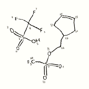 O=S(=O)(O)C(F)(F)F.O=S(=O)(OCC1CC=CC1)C(F)(F)F